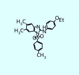 CCOc1ccc(Nc2nc3cc(C)c(C)cc3n2S(=O)(=O)c2ccc(C)cc2)cc1